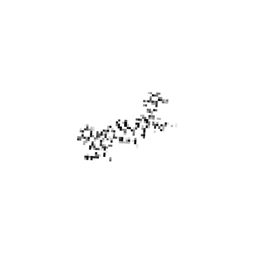 C/C(=C\CN(C)C(=O)C(NC(=O)[C@@H](N(C)C(=O)OC(C)(C)C)C(C)(C)c1ccccc1)C(C)(C)C)C(=O)N[C@@H](CC(=O)OC(C)(C)C)C(=O)NCCN1C(=O)C=CC1=O